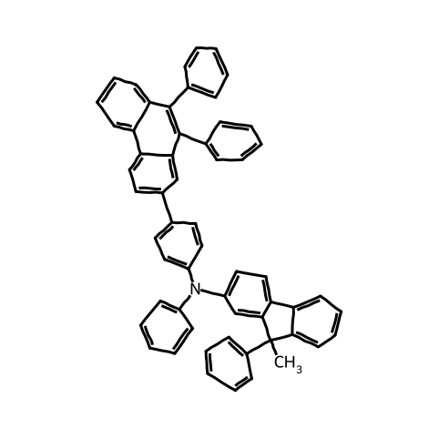 CC1(c2ccccc2)c2ccccc2-c2ccc(N(c3ccccc3)c3ccc(-c4ccc5c(c4)c(-c4ccccc4)c(-c4ccccc4)c4ccccc45)cc3)cc21